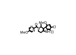 COc1cnc(C(=O)N2CCc3[nH]c4c(Cl)c(Cl)cc(OC)c4c3C2C)nc1